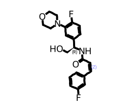 O=C(/C=C\c1cccc(F)c1)N[C@@H](CO)c1ccc(F)c(N2CCOCC2)c1